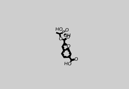 CC(OC(=O)c1cc2ccc(C(=O)O)cc2o1)P(=O)(O)O